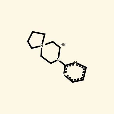 Br.c1cnc(N2CC[N+]3(CCCC3)CC2)nc1